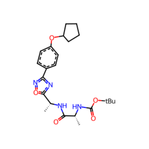 C[C@@H](NC(=O)OC(C)(C)C)C(=O)N[C@H](C)c1nc(-c2ccc(OC3CCCC3)cc2)no1